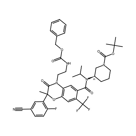 CC(C)N(C(=O)c1cc2c(cc1C(F)(F)F)OC(C)(c1cc(C#N)ccc1F)C(=O)N2CCNC(=O)OCc1ccccc1)[C@@H]1CCCN(C(=O)OC(C)(C)C)C1